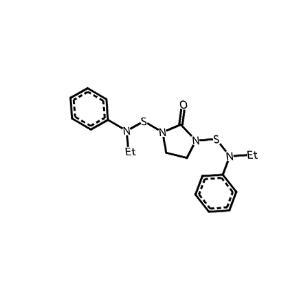 CCN(SN1CCN(SN(CC)c2ccccc2)C1=O)c1ccccc1